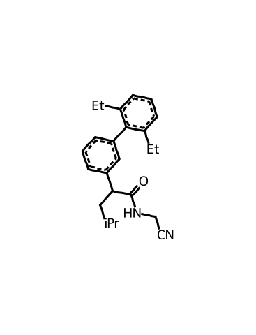 CCc1cccc(CC)c1-c1cccc(C(CC(C)C)C(=O)NCC#N)c1